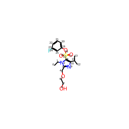 CCn1c(COCCO)nc(C(C)C)c1S(=O)(=O)Oc1cccc(F)c1